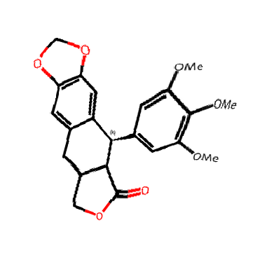 COc1cc([C@@H]2c3cc4c(cc3CC3COC(=O)C32)OCO4)cc(OC)c1OC